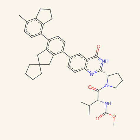 COC(=O)N[C@@H](C(=O)N1CCC[C@H]1c1nc2ccc(-c3ccc(-c4ccc(C)c5c4CCC5)c4c3CC3(CCCC3)C4)cc2c(=O)[nH]1)C(C)C